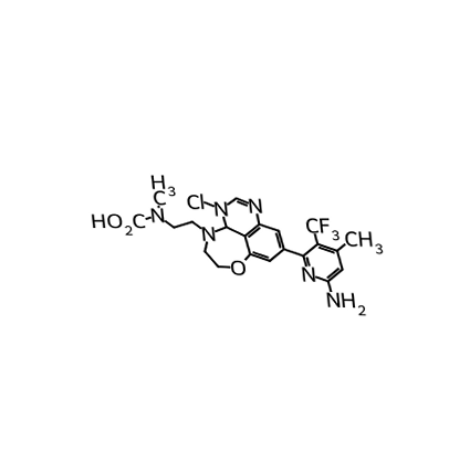 Cc1cc(N)nc(-c2cc3c4c(c2)OCCN(CCN(C)C(=O)O)C4N(Cl)C=N3)c1C(F)(F)F